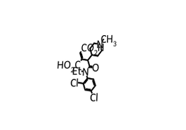 CCN(C(=O)C(/C(=C\C(=O)O)C(=O)O)C1CCN(C)CC1)c1ccc(Cl)cc1Cl